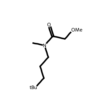 COCC(=O)N(C)CCCC(C)(C)C